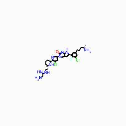 C[C@H](N)CCCc1cc(Cl)c(F)c(-c2cc3cn(-c4cnc([C@@H]5CCC[C@@H](CCNC(=N)CN)N5)c(Cl)c4)c(=O)nc3[nH]2)c1